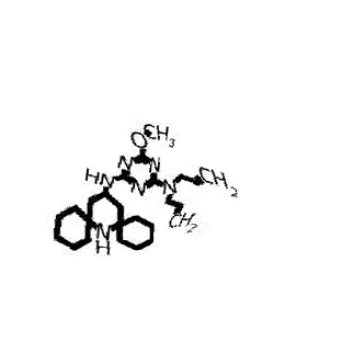 C=CCN(CC=C)c1nc(NC2CC3(CCCCC3)NC3(CCCCC3)C2)nc(OC)n1